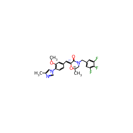 COc1cc(/C=C2\O[C@H](C)CN(Cc3cc(F)c(F)c(F)c3)C2=O)ccc1-n1cnc(C)c1